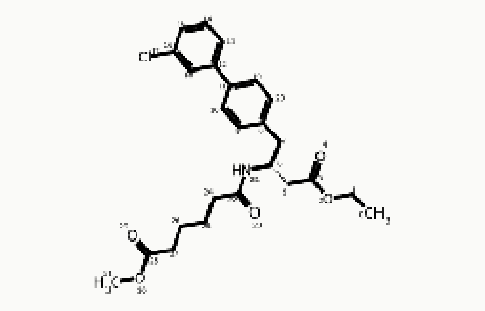 CCOC(=O)C[C@@H](Cc1ccc(-c2cccc(Cl)c2)cc1)NC(=O)CCCCC(=O)OC